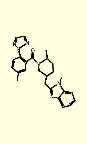 Cc1ccc(-n2nccn2)c(C(=O)N2CC(Cc3nc4ccccc4n3C)CCC2C)c1